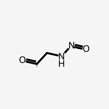 O=[C]CNN=O